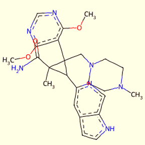 COc1ncnc(OC)c1C1(CN2CCN(C)CC2)C(c2cc3cc[nH]c3cn2)C1(C)C(N)=O